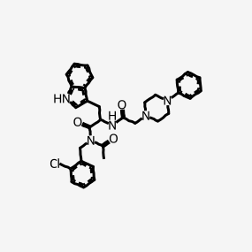 CC(=O)N(Cc1ccccc1Cl)C(=O)C(Cc1c[nH]c2ccccc12)NC(=O)CN1CCN(c2ccccc2)CC1